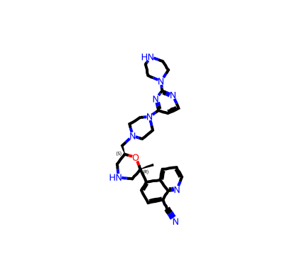 C[C@@]1(c2ccc(C#N)c3ncccc23)CNC[C@@H](CN2CCN(c3ccnc(N4CCNCC4)n3)CC2)O1